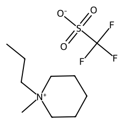 CCC[N+]1(C)CCCCC1.O=S(=O)([O-])C(F)(F)F